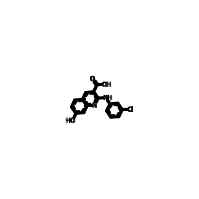 O=C(O)c1cc2ccc(O)cc2nc1Nc1cccc(Cl)c1